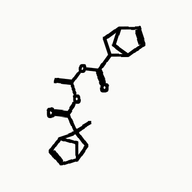 C=C(OC(=O)C1CC2C=CC1C2)OC(=O)C1(C)CC2C=CC1C2